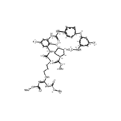 CC(C)(C)OC(=O)N=C(NCCCCC(=O)Nc1cc(C(F)(F)F)cc(NC(=O)Nc2ccc(Oc3cc(NC(=O)O)cc(C(F)(F)F)c3)cc2)c1O[C@@H]1CCN(C(=O)OC(C)(C)C)C1)NC(=O)OC(C)(C)C